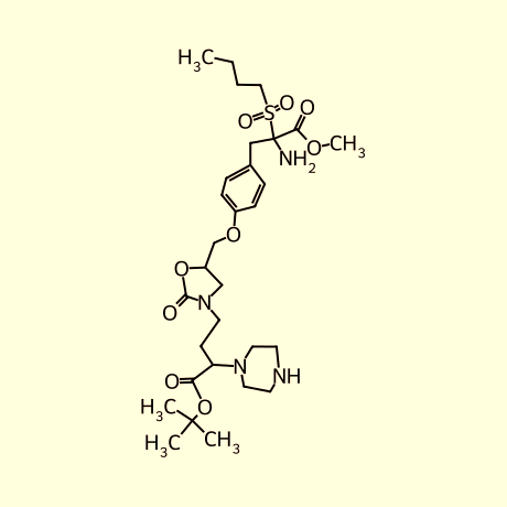 CCCCS(=O)(=O)C(N)(Cc1ccc(OCC2CN(CCC(C(=O)OC(C)(C)C)N3CCNCC3)C(=O)O2)cc1)C(=O)OC